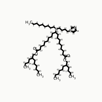 CCCCCCCCCN(CCCCn1ccnc1)C(CCCCCCCCC(=O)OCC(CCCC)CCCCCC)CCCCCCCCC(=O)OCC(CCCC)CCCCCC